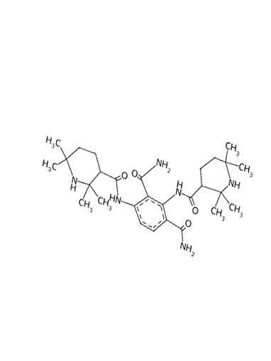 CC1(C)CCC(C(=O)Nc2ccc(C(N)=O)c(NC(=O)C3CCC(C)(C)NC3(C)C)c2C(N)=O)C(C)(C)N1